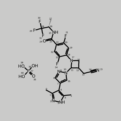 Cc1n[nH]c(C)c1-c1cnn(C2C(CC#N)CN2c2cc(F)c(C(=O)N[C@@H](C)C(F)(F)F)cc2F)c1.O=P(O)(O)O